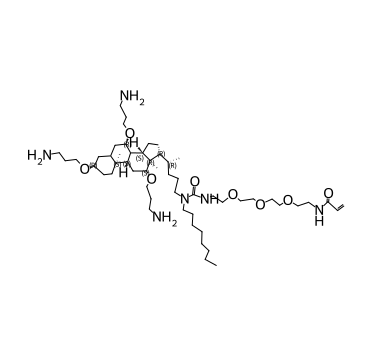 C=CC(=O)NCCOCCOCCOCCNC(=O)N(CCCCCCCC)CCC[C@@H](C)[C@H]1CC[C@H]2C3[C@H](OCCCN)CC4C[C@H](OCCCN)CC[C@]4(C)[C@H]3C[C@H](OCCCN)[C@]12C